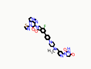 CN(Cc1ccnc(N2CCC(=O)NC2=O)c1)C1CCN(c2ccc(-c3cc(F)c4c(c3)C(=O)N(C(C(=O)Nc3nccs3)c3ncn5c3CCC5)C4)cc2)CC1